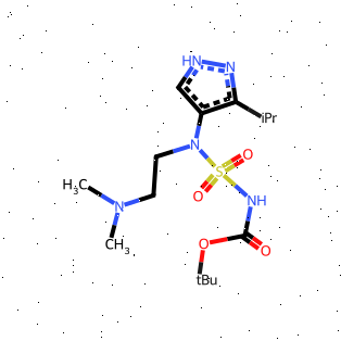 CC(C)c1n[nH]cc1N(CCN(C)C)S(=O)(=O)NC(=O)OC(C)(C)C